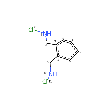 ClNCc1ccccc1CNCl